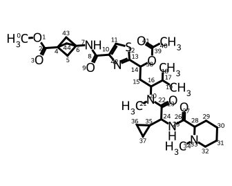 COC(=O)C12CC(NC(=O)c3csc(C(CC(C(C)C)N(C)C(=O)C(NC(=O)C4CCCCN4C)C4CC4)OC(C)=O)n3)(C1)C2